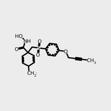 [CH2]C1C=CC(CS(=O)(=O)c2ccc(OCC#CC)cc2)(C(=O)NO)C=C1